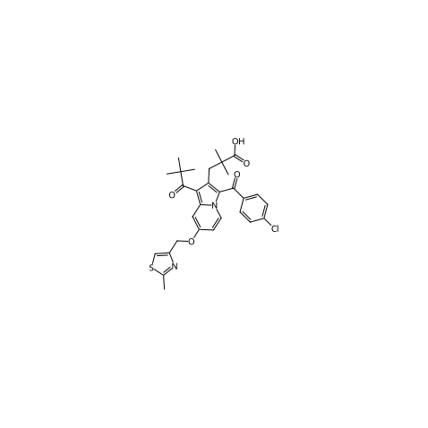 Cc1nc(COc2ccn3c(C(=O)c4ccc(Cl)cc4)c(CC(C)(C)C(=O)O)c(C(=O)C(C)(C)C)c3c2)cs1